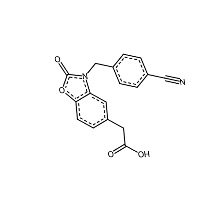 N#Cc1ccc(Cn2c(=O)oc3ccc(CC(=O)O)cc32)cc1